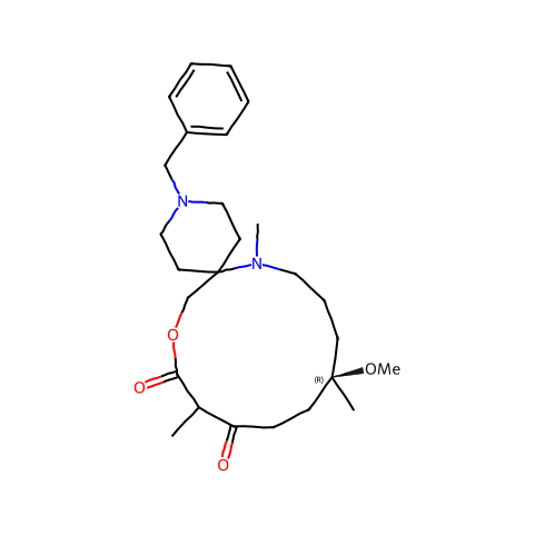 CO[C@]1(C)CCCN(C)C2(CCN(Cc3ccccc3)CC2)COC(=O)C(C)C(=O)CC1